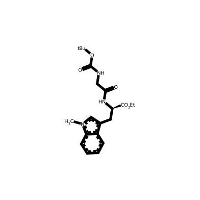 CCOC(=O)[C@@H](Cc1cn(C)c2ccccc12)NC(=O)CNC(=O)OC(C)(C)C